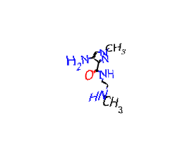 CNCCNC(=O)c1nn(C)cc1N